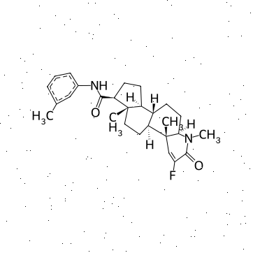 Cc1cccc(NC(=O)[C@H]2CC[C@H]3[C@@H]4CC[C@H]5N(C)C(=O)C(F)=C[C@]5(C)[C@H]4CC[C@]23C)c1